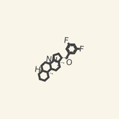 C[C@]12CCC3[C@@](N)(CC[C@@H]4CCCC[C@]34C)C1CC[C@@H]2C(=O)c1cc(F)cc(F)c1